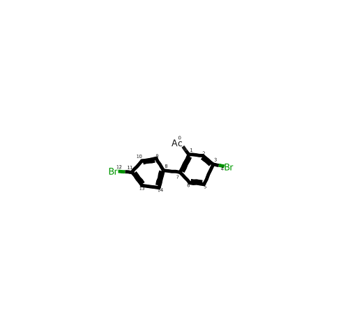 CC(=O)c1cc(Br)ccc1-c1ccc(Br)cc1